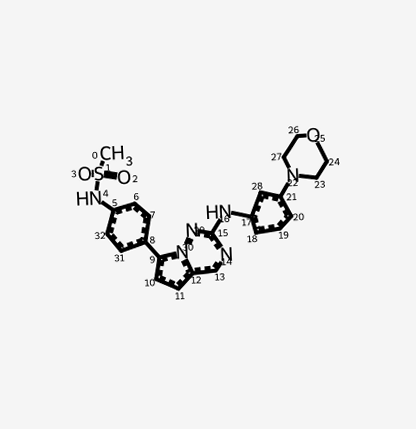 CS(=O)(=O)Nc1ccc(-c2ccc3cnc(Nc4cccc(N5CCOCC5)c4)nn23)cc1